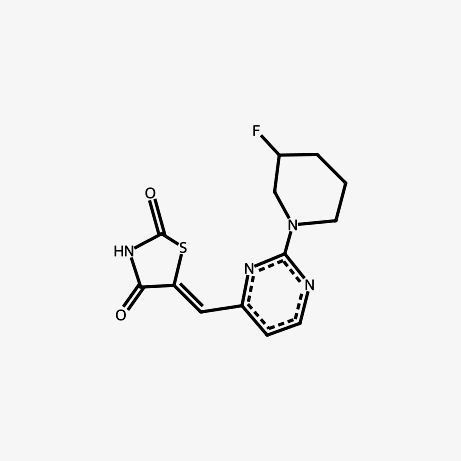 O=C1NC(=O)C(=Cc2ccnc(N3CCCC(F)C3)n2)S1